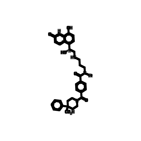 CCN(CCCNC[C@H](O)c1ccc(O)c2[nH]c(=O)ccc12)C(=O)c1ccc(C(=O)N2CCC(C(=O)O)(c3ccccc3)CC2)cc1